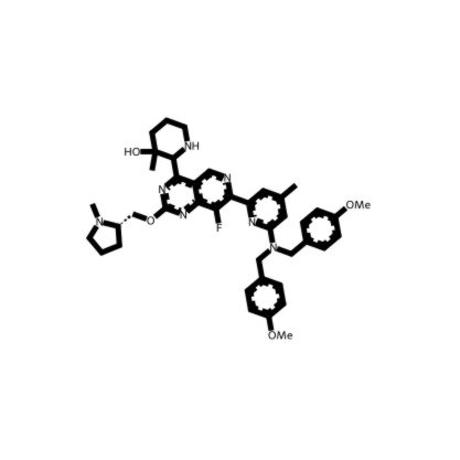 COc1ccc(CN(Cc2ccc(OC)cc2)c2cc(C)cc(-c3ncc4c(C5NCCCC5(C)O)nc(OC[C@@H]5CCCN5C)nc4c3F)n2)cc1